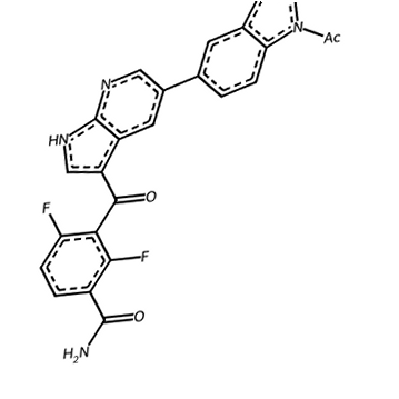 CC(=O)n1ncc2cc(-c3cnc4[nH]cc(C(=O)c5c(F)ccc(C(N)=O)c5F)c4c3)ccc21